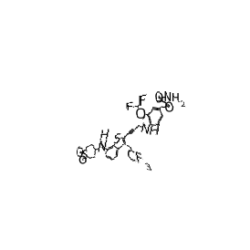 NS(=O)(=O)c1ccc(NCC#Cc2sc3c(NC4CCS(=O)(=O)CC4)cccc3c2CC(F)(F)F)c(OC(F)F)c1